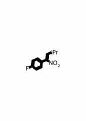 CC(C)C=C(c1ccc(F)cc1)[N+](=O)[O-]